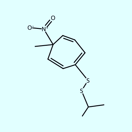 CC(C)SSC1=CC=CC(C)([N+](=O)[O-])C=C1